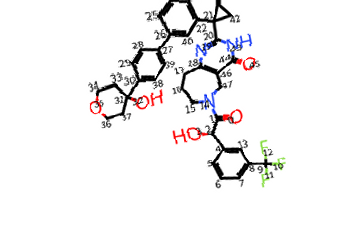 O=C([C@H](O)c1cccc(C(F)(F)F)c1)N1CCCc2nc(C3(c4cccc(-c5ccc(C6(O)CCOCC6)cc5)c4)CC3)[nH]c(=O)c2C1